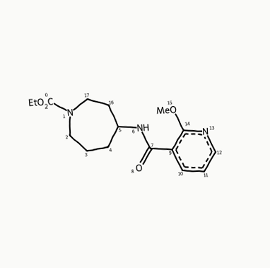 CCOC(=O)N1CCCC(NC(=O)c2cccnc2OC)CC1